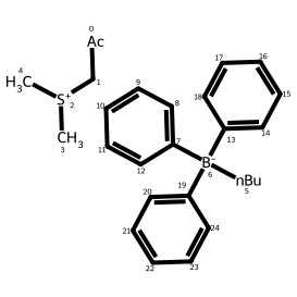 CC(=O)C[S+](C)C.CCCC[B-](c1ccccc1)(c1ccccc1)c1ccccc1